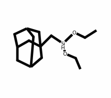 CCO[SiH](CC12CC3CC(CC(C3)C1)C2)OCC